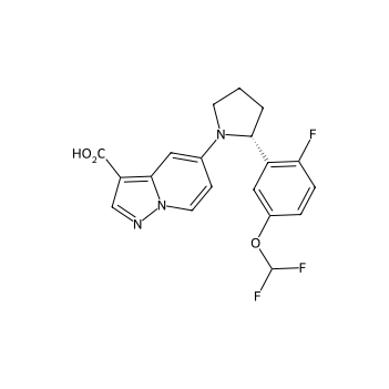 O=C(O)c1cnn2ccc(N3CCC[C@@H]3c3cc(OC(F)F)ccc3F)cc12